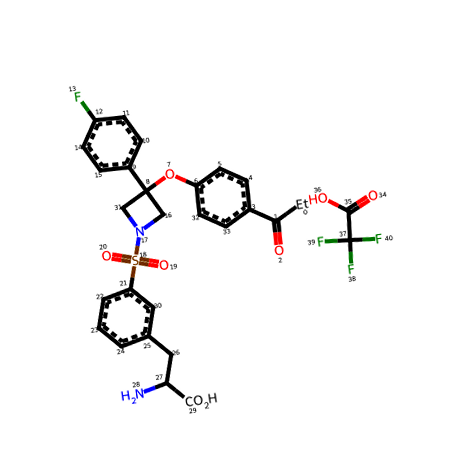 CCC(=O)c1ccc(OC2(c3ccc(F)cc3)CN(S(=O)(=O)c3cccc(CC(N)C(=O)O)c3)C2)cc1.O=C(O)C(F)(F)F